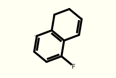 Fc1cc[c]c2c1C=CCC2